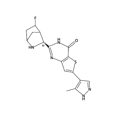 Cc1[nH]ncc1-c1cc2nc([C@H]3NC4CC(F)C3C4)[nH]c(=O)c2s1